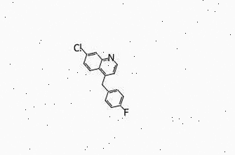 Fc1ccc(Cc2ccnc3cc(Cl)ccc23)cc1